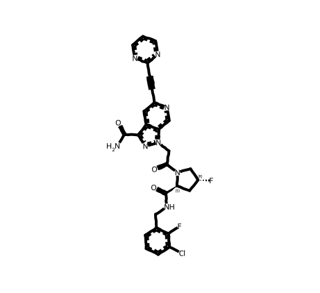 NC(=O)c1nn(CC(=O)N2C[C@H](F)C[C@H]2C(=O)NCc2cccc(Cl)c2F)c2cnc(C#Cc3ncccn3)cc12